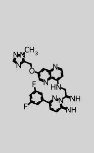 Cn1ncnc1COc1cnc2c(NCC(=N)n3nc(-c4cc(F)cc(F)c4)ccc3=N)ccnc2c1